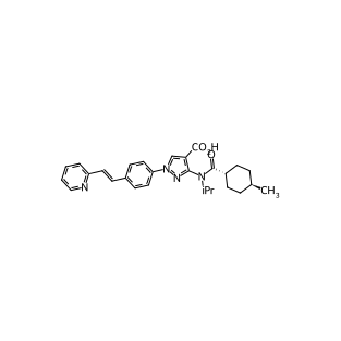 CC(C)N(c1nn(-c2ccc(C=Cc3ccccn3)cc2)cc1C(=O)O)C(=O)[C@H]1CC[C@H](C)CC1